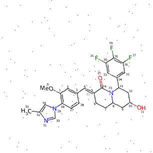 COc1cc(/C=C2\CCC3CC(O)CC(c4cc(F)c(F)c(F)c4)N3C2=O)ccc1-n1cnc(C)c1